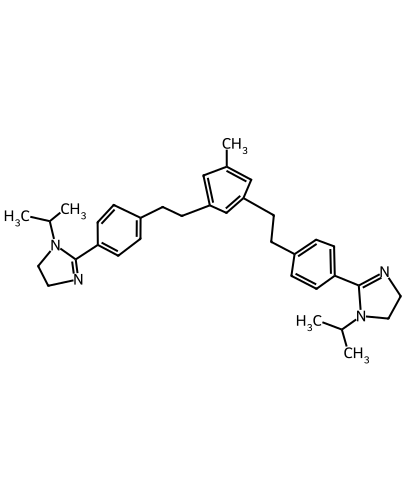 Cc1cc(CCc2ccc(C3=NCCN3C(C)C)cc2)cc(CCc2ccc(C3=NCCN3C(C)C)cc2)c1